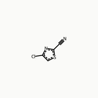 N#Cc1nc(Cl)cs1